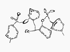 CCC(c1ccccc1OS(=O)(=O)c1ccc(C)cc1)c1ccccc1OS(=O)(=O)c1ccc(C)cc1